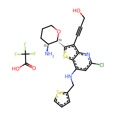 N[C@H]1CCCO[C@@H]1c1sc2c(NCc3cccs3)cc(Cl)nc2c1C#CCO.O=C(O)C(F)(F)F